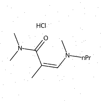 CCCN(C)C=C(C)C(=O)N(C)C.Cl